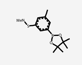 CNSc1cc(C)cc(B2OC(C)(C)C(C)(C)O2)c1